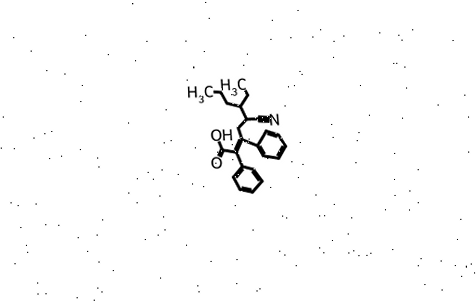 CCCC(CC)C(C#N)CC(=C(C(=O)O)c1ccccc1)c1ccccc1